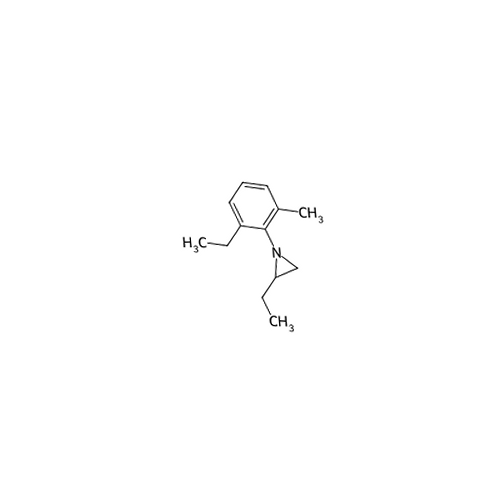 CCc1cccc(C)c1N1CC1CC